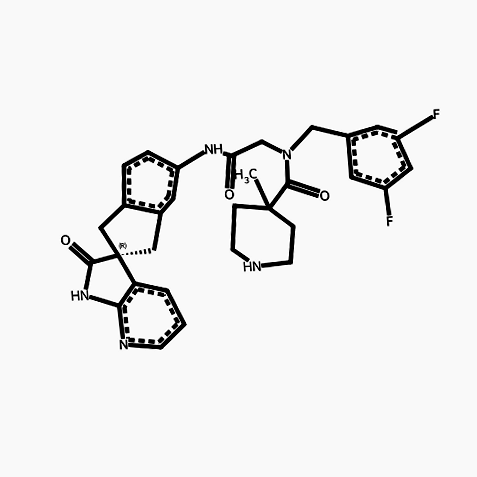 CC1(C(=O)N(CC(=O)Nc2ccc3c(c2)C[C@@]2(C3)C(=O)Nc3ncccc32)Cc2cc(F)cc(F)c2)CCNCC1